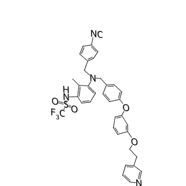 [C-]#[N+]c1ccc(CN(Cc2ccc(Oc3cccc(OCCc4cccnc4)c3)cc2)c2cccc(NS(=O)(=O)C(F)(F)F)c2C)cc1